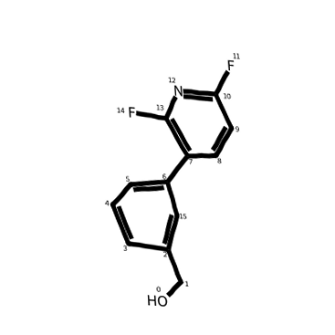 OCc1cccc(-c2ccc(F)nc2F)c1